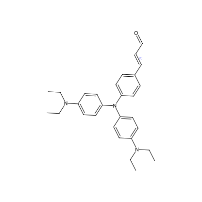 CCN(CC)c1ccc(N(c2ccc(/C=C/C=O)cc2)c2ccc(N(CC)CC)cc2)cc1